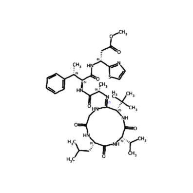 COC(=O)C[C@@H](NC(=O)[C@@H](NC(=O)[C@H](C)/N=C1\NCC(=O)N[C@@H](CC(C)C)C(=O)N[C@@H](C(C)C)C(=O)N[C@H]1C(C)(C)C)[C@@H](C)c1ccccc1)c1nccs1